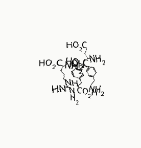 N=C(N)NCCC[C@H](N)C(=O)O.NCCc1ccccc1.N[C@@H](CCC(=O)O)C(=O)O.O=C(O)CCc1ccc(O)cc1